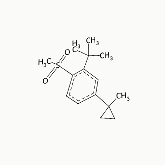 CC(C)(C)c1cc(C2(C)CC2)ccc1S(C)(=O)=O